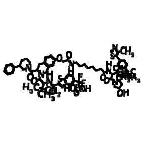 Cc1ncsc1-c1ccc([C@H](C)NC(=O)[C@@H]2C[C@@H](O)CN2C(=O)C(NC(=O)CCCCCCCNC(=O)COc2ccc3c(c2)CN(C(=O)C(NC(=O)c2cc4cc(C(F)(F)P(=O)(O)O)ccc4s2)C(C)(C)C)C(C(=O)N2CCCC(c4ccccc4)C2)C3)C(C)(C)C)cc1